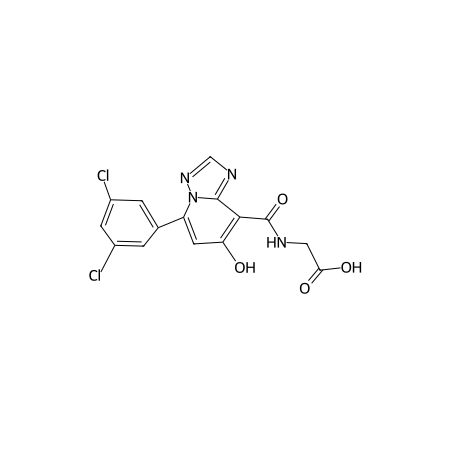 O=C(O)CNC(=O)c1c(O)cc(-c2cc(Cl)cc(Cl)c2)n2ncnc12